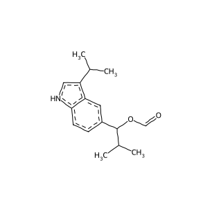 CC(C)c1c[nH]c2ccc(C(OC=O)C(C)C)cc12